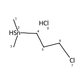 Cl.[CH3][SnH]([CH3])[CH2]CCCl